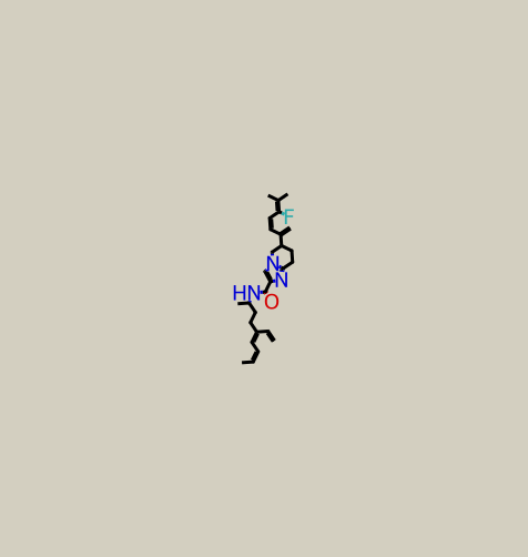 C=C/C(=C\C=C/C)CCC(C)NC(=O)c1cn2c(n1)CCC(C(=C)/C=C\C(F)=C(C)C)C2